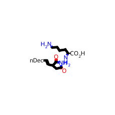 CCCCCCCCCCC=CC1CC(=O)NC1=O.NCCCC[C@H](N)C(=O)O